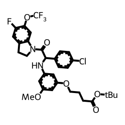 COc1cc(NC(C(=O)N2CCc3cc(F)c(OC(F)(F)F)cc32)c2ccc(Cl)cc2)cc(OCCCC(=O)OC(C)(C)C)c1